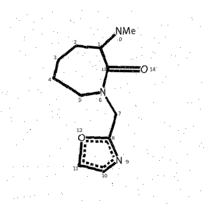 CNC1CCCCN(Cc2ncco2)C1=O